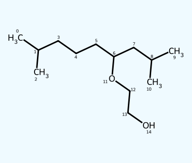 CC(C)CCCC(CC(C)C)OCCO